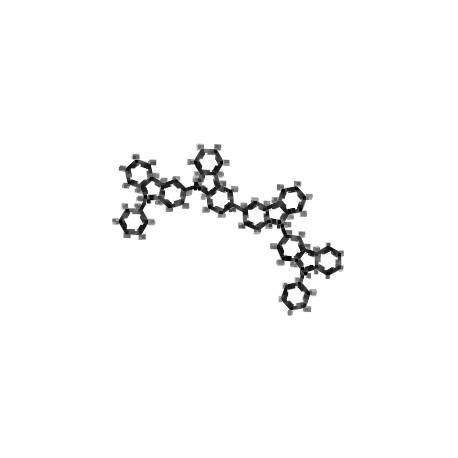 c1ccc(-n2c3ccccc3c3cc(-n4c5ccccc5c5cc(-c6ccc7c(c6)c6ccccc6n7-c6ccc7c(c6)c6ccccc6n7-c6ccccc6)ccc54)ccc32)cc1